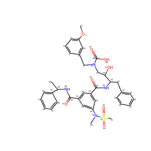 COc1cccc(CN(CC(O)C(Cc2ccccc2)NC(=O)c2cc(C(=O)NC(C)c3ccccc3)cc(N(C)S(C)(=O)=O)c2)C(=O)O)c1